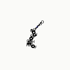 COc1cc2c(Oc3ccc(NC(=O)C4(C(=O)Nc5ccc(F)cc5)CC4)cc3F)ccnc2cc1OCC/C=C/CCSC=O